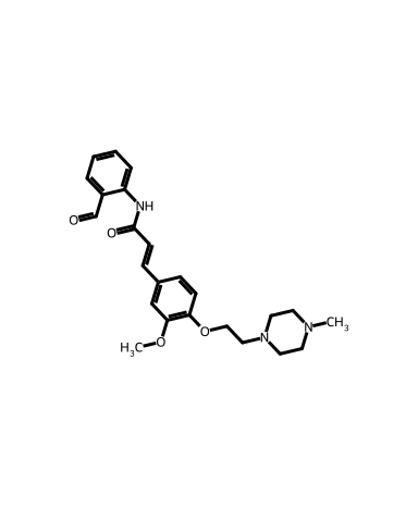 COc1cc(/C=C/C(=O)Nc2ccccc2C=O)ccc1OCCN1CCN(C)CC1